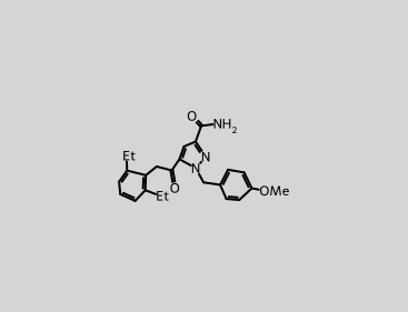 CCc1cccc(CC)c1CC(=O)c1cc(C(N)=O)nn1Cc1ccc(OC)cc1